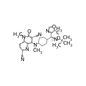 Cc1ocnc1/C(=N\OC(C)(C)C)C1CCC(N(C)c2c(C#N)c(=O)n(C)c3ccc(C#N)nc23)CC1